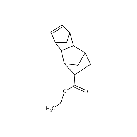 CCOC(=O)C1CC2CC1C1C3C=CC(C3)C21